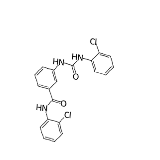 O=C(Nc1cccc(C(=O)Nc2ccccc2Cl)c1)Nc1ccccc1Cl